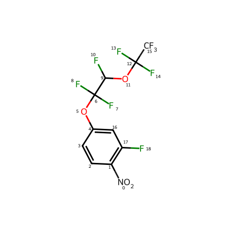 O=[N+]([O-])c1ccc(OC(F)(F)C(F)OC(F)(F)C(F)(F)F)cc1F